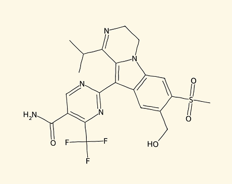 CC(C)C1=NCCn2c1c(-c1ncc(C(N)=O)c(C(F)(F)F)n1)c1cc(CO)c(S(C)(=O)=O)cc12